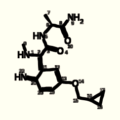 CN/C(C(=O)N[C@@H](C)C(N)=O)=C1/C=C(OCC2CC2)C=CC1=N